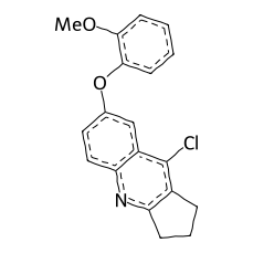 COc1ccccc1Oc1ccc2nc3c(c(Cl)c2c1)CCC3